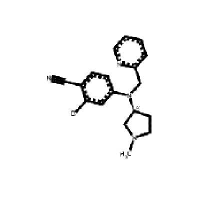 CN1CC[C@H](N(Cc2ccccn2)c2ccc(C#N)c(Cl)c2)C1